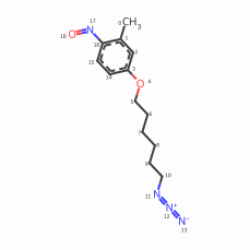 Cc1cc(OCCCCCCN=[N+]=[N-])ccc1N=O